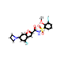 CCOc1c(F)cccc1S(=O)(=O)NC(=O)c1cc2c(F)cc(N3CCC3)cc2o1